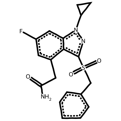 NC(=O)Cc1cc(F)cc2c1c(S(=O)(=O)Cc1ccccc1)nn2C1CC1